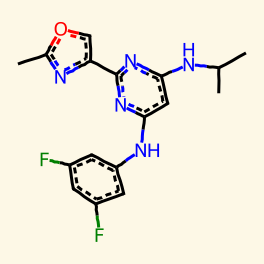 Cc1nc(-c2nc(Nc3cc(F)cc(F)c3)cc(NC(C)C)n2)co1